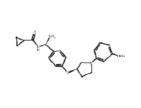 CC(C)COc1cc(N2CC[C@@H](Oc3ccc([C@H](C)NC(=O)C4CC4)cc3)C2)ccn1